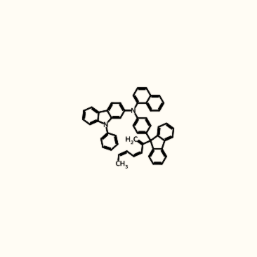 C=C(/C=C\C=C/C)C1(c2ccc(N(c3ccc4c5ccccc5n(-c5ccccc5)c4c3)c3cccc4ccccc34)cc2)c2ccccc2-c2ccccc21